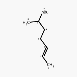 CC=CCCC(C)CCCC